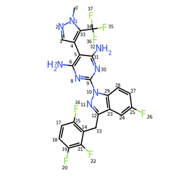 Cn1ncc(-c2c(N)nc(-n3nc(Cc4c(F)ccc(F)c4F)c4cc(F)ccc43)nc2N)c1C(F)(F)F